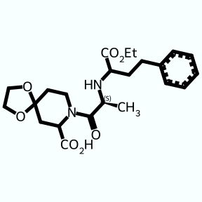 CCOC(=O)C(CCc1ccccc1)N[C@@H](C)C(=O)N1CCC2(CC1C(=O)O)OCCO2